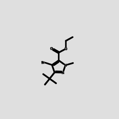 CCOC(=O)c1c(Br)c(C(C)(C)C)nn1C